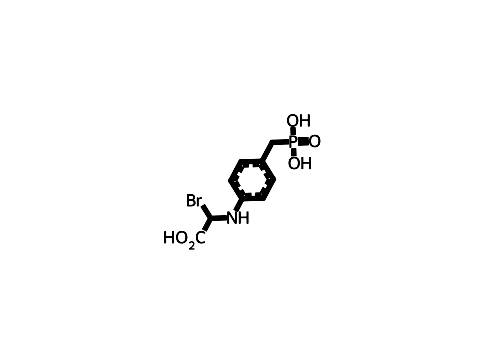 O=C(O)C(Br)Nc1ccc(CP(=O)(O)O)cc1